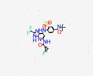 CC1(C)COC(c2ccc(Nc3cc(NC(=O)[C@H]4C[C@H]4F)nc4[nH]c(C(F)F)nc34)c(S(C)(=O)=O)c2)=N1